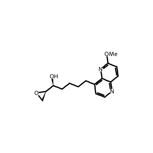 COc1ccc2nccc(CCCC[C@H](O)[C@H]3CO3)c2n1